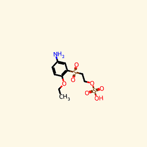 CCOc1ccc(N)cc1S(=O)(=O)CCOS(=O)(=O)O